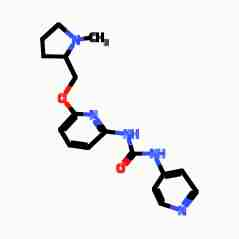 CN1CCCC1COc1cccc(NC(=O)Nc2ccncc2)n1